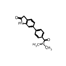 CN(C)C(=O)c1ccc(-c2ccc3c(c2)NC(=O)C3)cc1